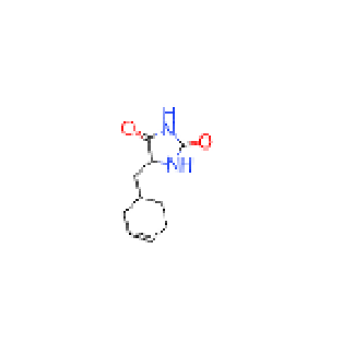 O=C1NC(=O)C(CC2CC=CCC2)N1